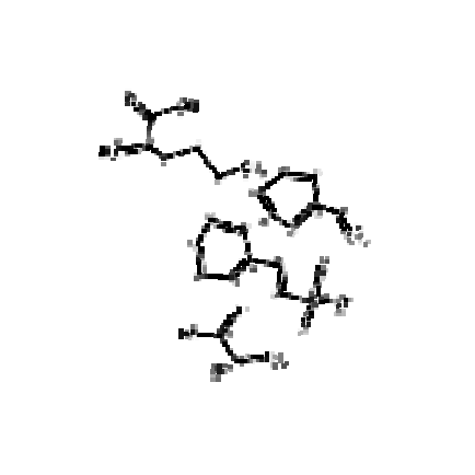 C=C(CCCC)C(=O)O.C=CC(=O)O.C=Cc1ccccc1.O=S(=O)([O-])C=Cc1ccccc1.[Na+]